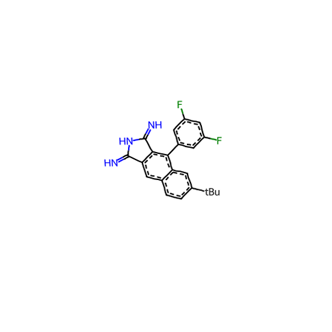 CC(C)(C)c1ccc2cc3c(c(-c4cc(F)cc(F)c4)c2c1)C(=N)NC3=N